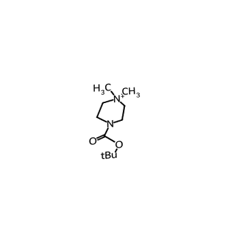 CC(C)(C)OC(=O)N1CC[N+](C)(C)CC1